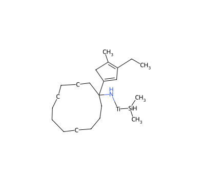 CCC1=C(C)CC(C2([NH][Ti][SiH](C)C)CCCCCCCCCCC2)=C1